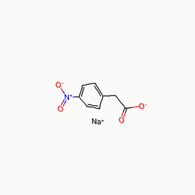 O=C([O-])Cc1ccc([N+](=O)[O-])cc1.[Na+]